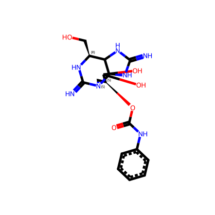 N=C1NC2[C@H](CO)NC(=N)N3C[C@H](OC(=O)Nc4ccccc4)C(O)(O)[C@]23N1